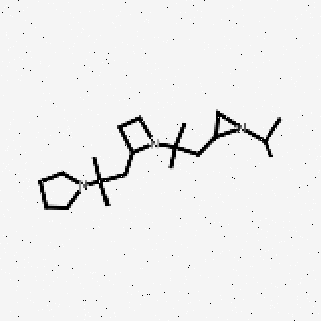 CC(C)N1CC1CC(C)(C)N1CCC1CC(C)(C)N1CCCC1